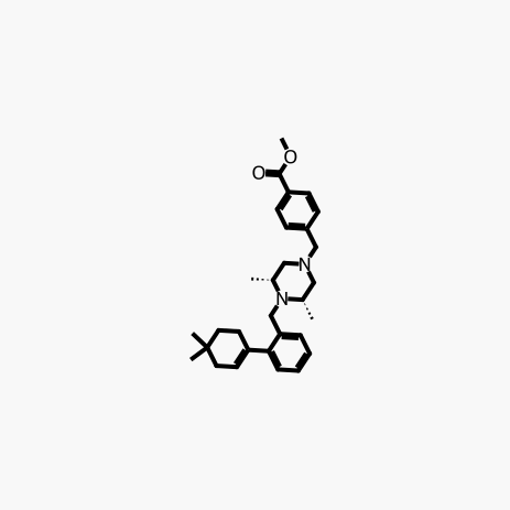 COC(=O)c1ccc(CN2C[C@@H](C)N(Cc3ccccc3C3=CCC(C)(C)CC3)[C@@H](C)C2)cc1